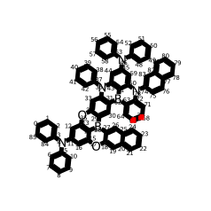 c1ccc(N(c2ccccc2)c2cc3c4c(c2)Oc2cc5ccccc5cc2B4c2cc4c(cc2O3)N(c2ccccc2)c2cc(N(c3ccccc3)c3ccccc3)cc3c2B4c2cc4ccccc4cc2N3c2ccc3ccccc3c2)cc1